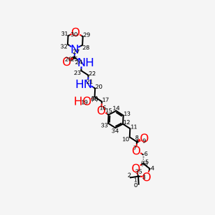 CC1(C)OC[C@@H](COC(=O)CCc2ccc(OC[C@H](O)CNCCNC(=O)N3CCOCC3)cc2)O1